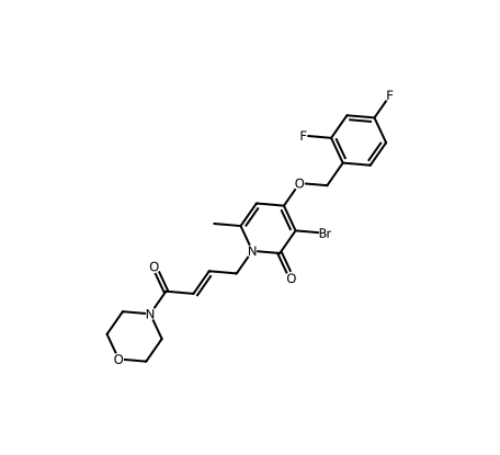 Cc1cc(OCc2ccc(F)cc2F)c(Br)c(=O)n1CC=CC(=O)N1CCOCC1